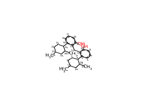 CC1CCC(c2cccc(O)c2Cc2c(O)cccc2C2CCC(C)CC2C)C(C)C1